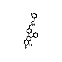 O=c1[nH]ccc2nc(-c3ccc(CNCCc4cccnc4)cc3)c(-c3ccccc3)cc12